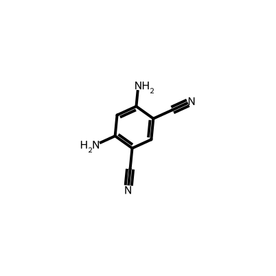 N#Cc1cc(C#N)c(N)cc1N